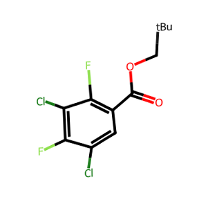 CC(C)(C)COC(=O)c1cc(Cl)c(F)c(Cl)c1F